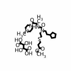 COC(=O)CCSCCN(CCC1CCCC1)C(=O)N[C@@H](C)C(=O)N1CCN(C)CC1.O=C(O)C(O)C(O)C(=O)O